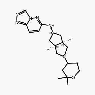 CC1(C)CC(N2C[C@H]3C[C@@H](Nc4ccc5nncn5n4)C[C@H]3C2)CCO1